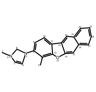 Cc1c(N2C=CN(C)C2)ccc2c1oc1cc3ccccc3cc12